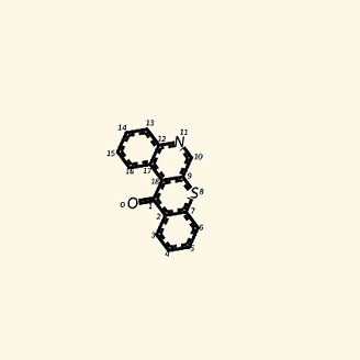 O=c1c2ccccc2sc2cnc3ccccc3c12